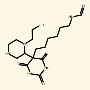 O=CNCCCCCCC1(C2CNCCN2CCO)C(=O)NC(=O)NC1=O